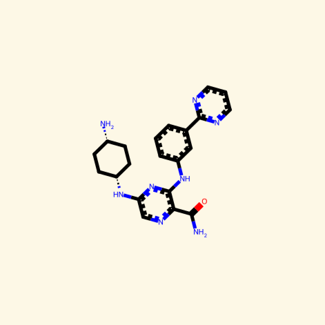 NC(=O)c1ncc(N[C@H]2CC[C@@H](N)CC2)nc1Nc1cccc(-c2ncccn2)c1